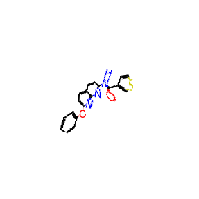 O=C(Nc1ccc2ccc(Oc3ccccc3)nc2n1)c1ccsc1